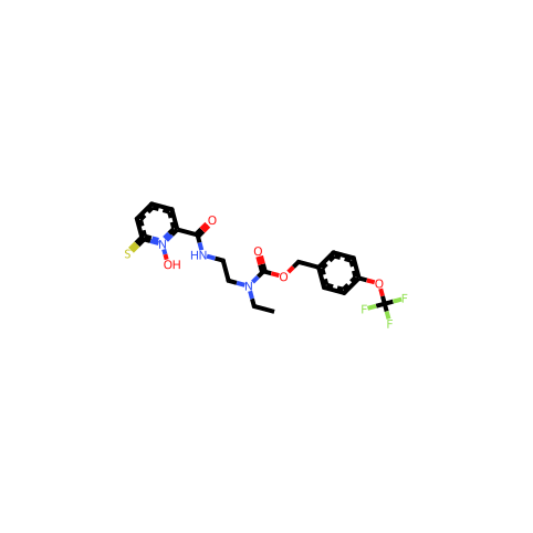 CCN(CCNC(=O)c1cccc(=S)n1O)C(=O)OCc1ccc(OC(F)(F)F)cc1